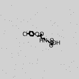 O=C(CCNCCS(=O)(=O)O)COc1ccc(Cl)cc1